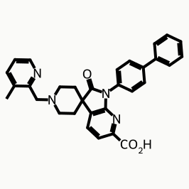 Cc1cccnc1CN1CCC2(CC1)C(=O)N(c1ccc(-c3ccccc3)cc1)c1nc(C(=O)O)ccc12